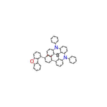 c1ccc(N2c3ccccc3B3c4c(-c5ccc(-c6cccc7oc8ccccc8c67)cc5)cccc4N(c4ccccc4)c4cccc2c43)cc1